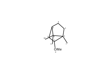 COC1CC2CCC1(C)C2(C)C